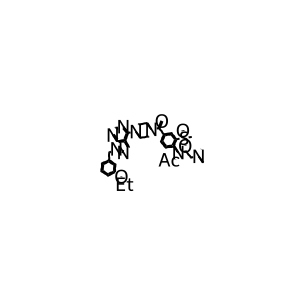 CCOc1cccc(Cn2ncc3c(N4CCN(C(=O)c5ccc(N(CCN(C)C)C(C)=O)c(S(C)(=O)=O)c5)CC4)ncnc32)c1